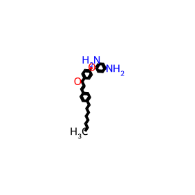 CCCCCCCCc1ccc(C=CC(=O)c2ccc(Oc3ccc(N)cc3N)cc2)cc1